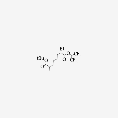 CCC(CCCCC(C)C(=O)OC(C)(C)C)C(=O)OC(C(F)(F)F)C(F)(F)F